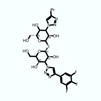 CC(C)c1cn(C2C(O)[C@@H](CO)OC(S[C@@H]3OC(CO)[C@H](O)C(n4cc(-c5cc(F)c(F)c(F)c5)nn4)[C@@H]3O)[C@@H]2O)nn1